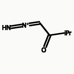 CC(C)C(=O)C=[N+]=N